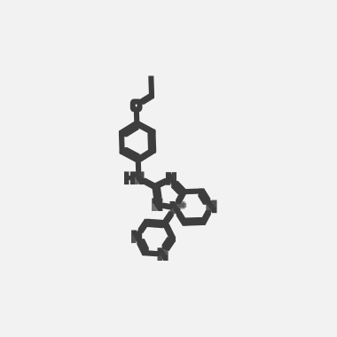 CCOc1ccc(NC2=N[N+]3(c4cncnc4)C=CN=CC3=N2)cc1